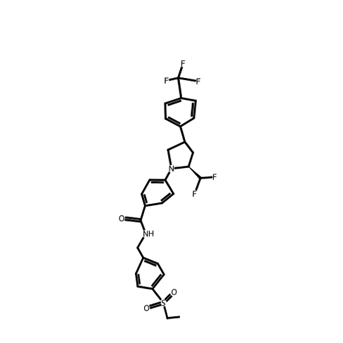 CCS(=O)(=O)c1ccc(CNC(=O)c2ccc(N3CC(c4ccc(C(F)(F)F)cc4)C[C@H]3C(F)F)cc2)cc1